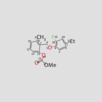 CCc1ccc(OCc2c(C)cccc2OC(=O)OC)c(F)c1